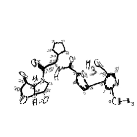 Cc1cc(-c2ccc(C(=O)N[C@H](C(=O)N3C[C@H](Cl)[C@H]4OCC(=O)[C@H]43)C3CCCC3)s2)c(C)cn1